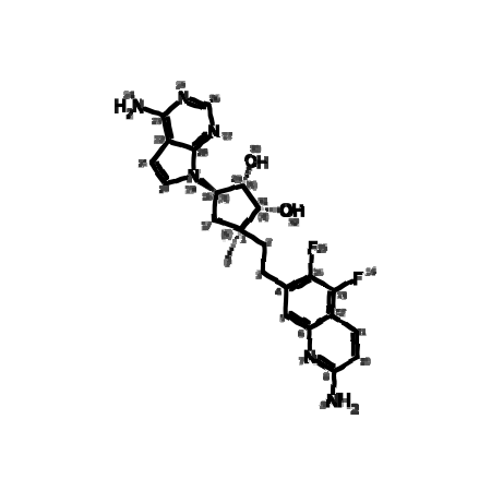 C[C@]1(CCc2cc3nc(N)ccc3c(F)c2F)C[C@@H](n2ccc3c(N)ncnc32)[C@H](O)[C@@H]1O